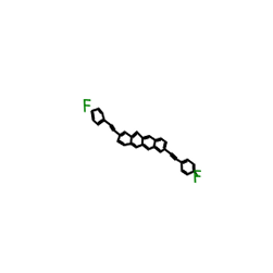 Fc1ccc(C#Cc2ccc3cc4cc5cc(C#Cc6ccc(F)cc6)ccc5cc4cc3c2)cc1